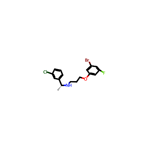 C[C@@H](NCCCOc1cc(F)cc(Br)c1)c1cccc(Cl)c1